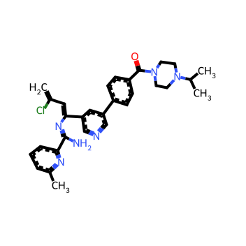 C=C(Cl)/C=C(\N=C(/N)c1cccc(C)n1)c1cncc(-c2ccc(C(=O)N3CCN(C(C)C)CC3)cc2)c1